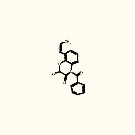 C/C=C\c1cccc2c1OC(CC)C(=O)N2C(=O)c1ccccc1